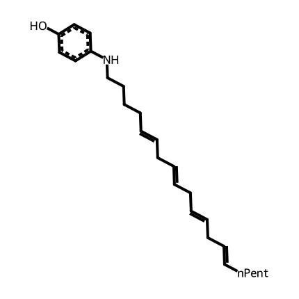 CCCCCC=CCC=CCC=CCC=CCCCCNc1ccc(O)cc1